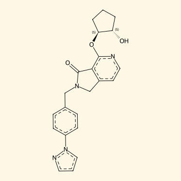 O=C1c2c(ccnc2O[C@H]2CCC[C@@H]2O)CN1Cc1ccc(-n2cccn2)cc1